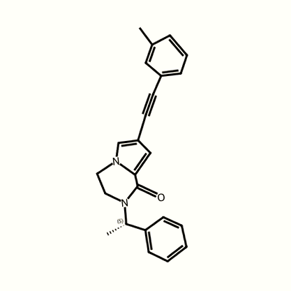 Cc1cccc(C#Cc2cc3n(c2)CCN([C@@H](C)c2ccccc2)C3=O)c1